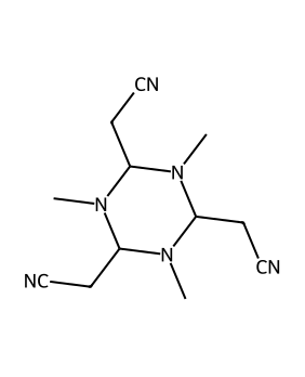 CN1C(CC#N)N(C)C(CC#N)N(C)C1CC#N